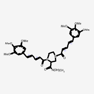 COc1cc(/C=C/C=C/C(=O)N2CCN(C(=O)/C=C/C=C/c3cc(OC)c(OC)c(OC)c3)C(C(=O)N(C)O)C2)cc(OC)c1OC